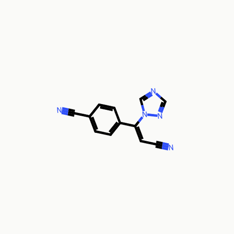 N#CC=C(c1ccc(C#N)cc1)n1cncn1